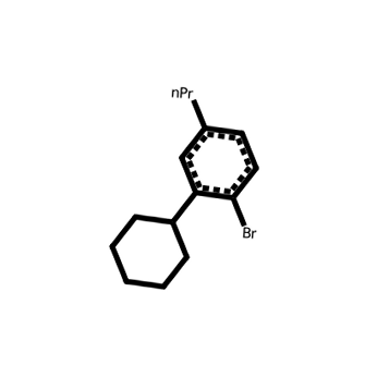 CCCc1ccc(Br)c(C2CCCCC2)c1